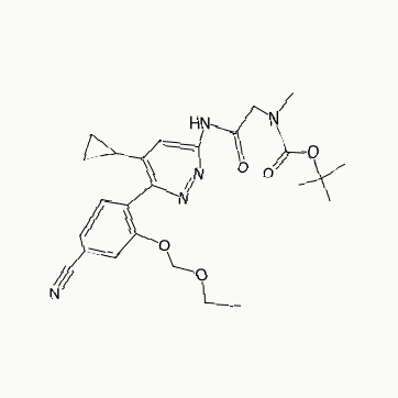 CCOCOc1cc(C#N)ccc1-c1nnc(NC(=O)CN(C)C(=O)OC(C)(C)C)cc1C1CC1